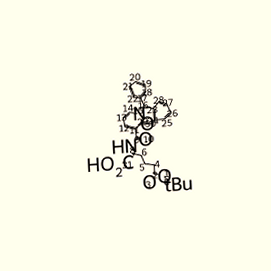 CC(C)(C)OC(=O)CCC[C@H](NC(=O)c1cccn(C(c2ccccc2)c2ccccc2)c1=O)C(=O)O